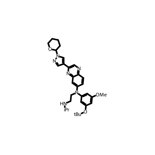 COc1cc(OC(C)(C)C)cc(N(CCNC(C)C)c2ccc3ncc(-c4cnn(C5CCCCO5)c4)nc3c2)c1